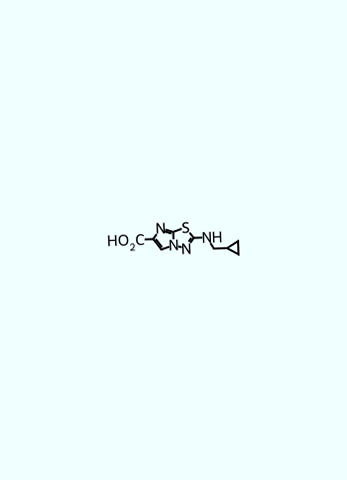 O=C(O)c1cn2nc(NCC3CC3)sc2n1